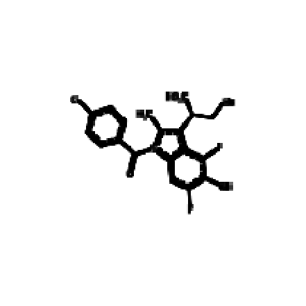 CCC(C)C[C@H](C(=O)O)c1c(C)n(C(=O)c2ccc(Cl)cc2)c2cc(F)c(O)c(F)c12